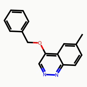 Cc1ccc2nncc(OCc3ccccc3)c2c1